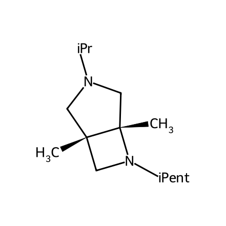 CCCC(C)N1C[C@]2(C)CN(C(C)C)C[C@]12C